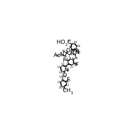 COC1(Cn2c(Cc3cc(F)c(-c4cccc(OCc5ccc(C)cc5F)n4)cc3F)nc3ccc(C(=O)O)cc32)CN(C(C)=O)C1